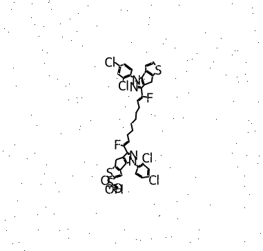 O=S(=O)(O)c1cc2c(s1)Cc1c(/C(F)=C/CCCCCC/C=C(\F)c3nn(-c4ccc(Cl)cc4Cl)c4c3Cc3sccc3-4)nn(-c3ccc(Cl)cc3Cl)c1-2